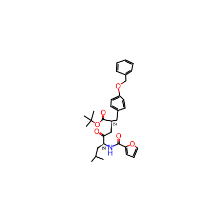 CC(C)C[C@H](NC(=O)c1ccco1)C(=O)C[C@H](Cc1ccc(OCc2ccccc2)cc1)C(=O)OC(C)(C)C